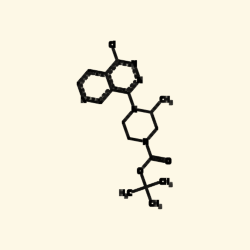 CC1CN(C(=O)OC(C)(C)C)CCN1c1nnc(Cl)c2ccncc12